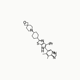 Cc1c(-c2[nH]c3sc(C4CCC(N5CCC6(CC5)COC6)CC4)nc3c2C(C)C)cn2ncnc2c1C